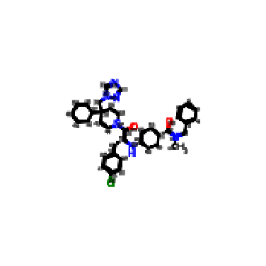 CN(Cc1ccccc1)C(=O)[C@H]1CC[C@@H](N[C@H](Cc2ccc(Cl)cc2)C(=O)N2CCC(Cn3cncn3)(C3CCCCC3)CC2)CC1